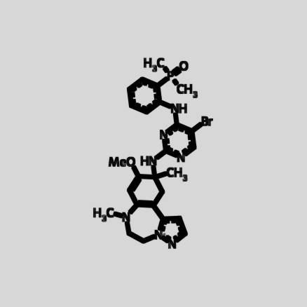 COC1=CC2=C(CC1(C)Nc1ncc(Br)c(Nc3ccccc3P(C)(C)=O)n1)c1ccnn1CCN2C